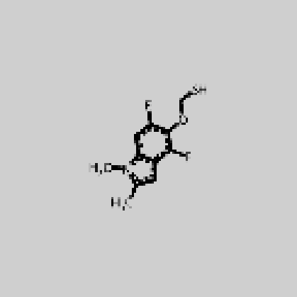 Cc1cc2c(F)c(OCS)c(F)cc2n1C